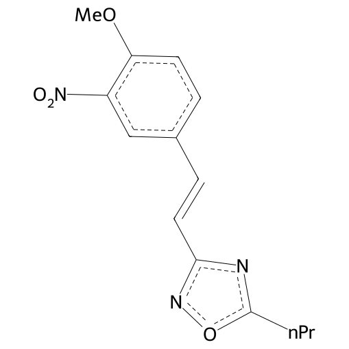 CCCc1nc(/C=C/c2ccc(OC)c([N+](=O)[O-])c2)no1